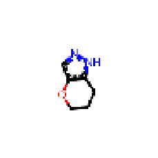 c1n[nH]c2c1OCCC2